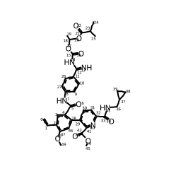 C=Cc1cc(C(=O)Nc2ccc(C(=N)NC(=O)OC(C)OC(=O)C(C)C)cc2)c(-c2ccc(C(=O)NCC3CC3)nc2C(=O)OC)cc1OC